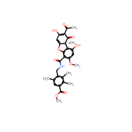 COC(=O)c1cc(C)c(CNC(=O)c2c(OC)cc(O)c3c2OC2=CC(O)=C(C(C)=O)C(=O)[C@]23C)c(C)c1C